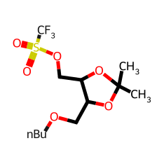 CCCCOCC1OC(C)(C)OC1COS(=O)(=O)C(F)(F)F